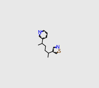 CC(CCC(C)c1cnsc1)c1cccnc1